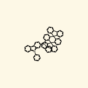 c1ccc(N(c2ccc3c4ccccc4n(-c4ccccc4)c3c2)c2cccc3c2C2(c4ccccc4-c4ccccc42)c2ccccc2C32c3ccccc3-c3ccccc32)cc1